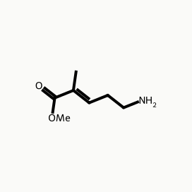 COC(=O)C(C)=CCCN